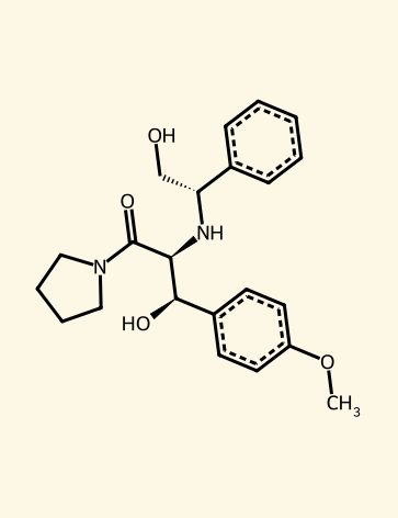 COc1ccc([C@@H](O)[C@H](N[C@H](CO)c2ccccc2)C(=O)N2CCCC2)cc1